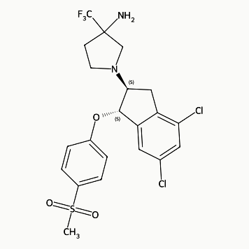 CS(=O)(=O)c1ccc(O[C@H]2c3cc(Cl)cc(Cl)c3C[C@@H]2N2CCC(N)(C(F)(F)F)C2)cc1